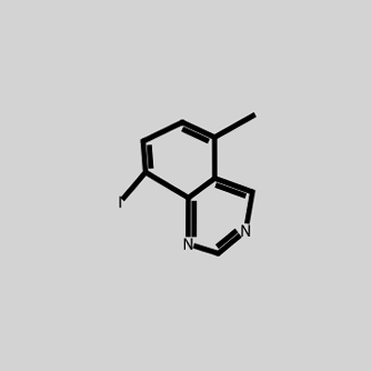 Cc1ccc(I)c2ncncc12